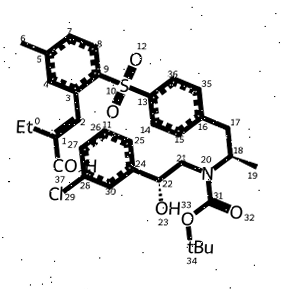 CCC(=Cc1cc(C)ccc1S(=O)(=O)c1ccc(C[C@@H](C)N(C[C@H](O)c2cccc(Cl)c2)C(=O)OC(C)(C)C)cc1)C(=O)O